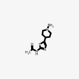 BN1CCC(c2cnc(NC(C)=O)s2)CC1